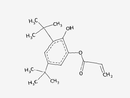 C=CC(=O)Oc1cc(C(C)(C)C)cc(C(C)(C)C)c1O